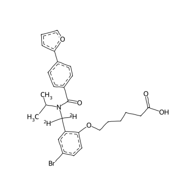 [2H]C([2H])(c1cc(Br)ccc1OCCCCCC(=O)O)N(C(=O)c1ccc(-c2ccco2)cc1)C(C)C